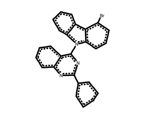 Brc1cccc2c1c1ccccc1n2-c1nc(-c2ccccc2)nc2ccccc12